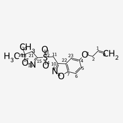 C=CCOc1ccc2onc(CS(=O)(=O)C3=NOC(C)(C)C3)c2c1